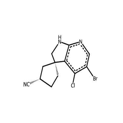 N#C[C@H]1CC[C@@]2(CNc3ncc(Br)c(Cl)c32)C1